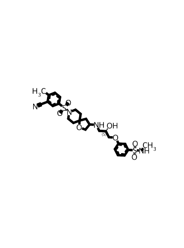 CNS(=O)(=O)c1cccc(OC[C@@H](O)CNC2COC3(CCN(S(=O)(=O)c4ccc(C)c(C#N)c4)CC3)C2)c1